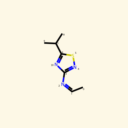 C/C=N\c1nsc(C(C)C)n1